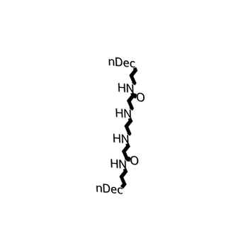 CCCCCCCCCCCCCNC(=O)CCNCCCNCCC(=O)NCCCCCCCCCCCCC